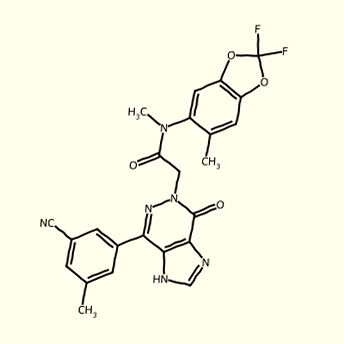 Cc1cc(C#N)cc(-c2nn(CC(=O)N(C)c3cc4c(cc3C)OC(F)(F)O4)c(=O)c3nc[nH]c23)c1